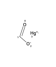 O=C[O-].[Hg+]